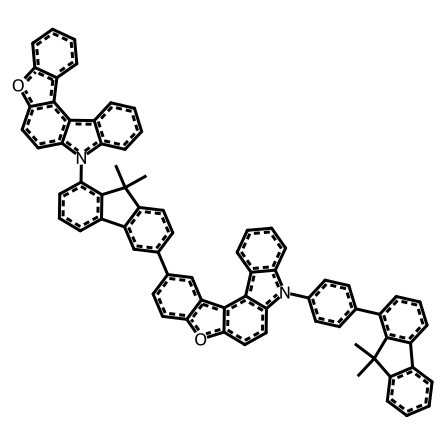 CC1(C)c2ccccc2-c2cccc(-c3ccc(-n4c5ccccc5c5c6c(ccc54)oc4ccc(-c5ccc7c(c5)-c5cccc(-n8c9ccccc9c9c%10c(ccc98)oc8ccccc8%10)c5C7(C)C)cc46)cc3)c21